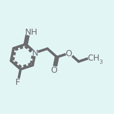 CCOC(=O)Cn1cc(F)ccc1=N